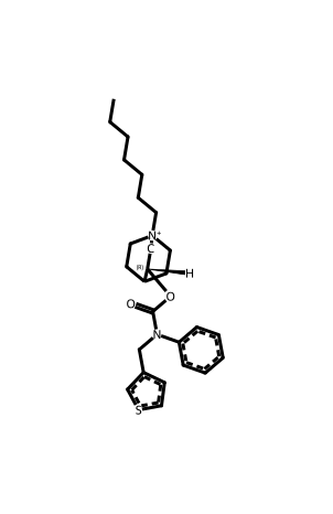 CCCCCCC[N+]12CCC(CC1)[C@@H](OC(=O)N(Cc1ccsc1)c1ccccc1)C2